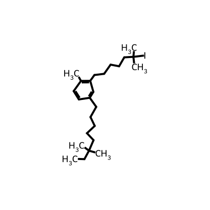 CCC(C)(C)CCCCCc1ccc(C)c(CCCCCC(C)(C)I)c1